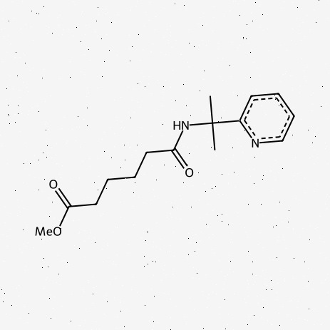 COC(=O)CCCCC(=O)NC(C)(C)c1ccccn1